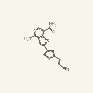 N#C/C=C/c1cc(-c2cc3c(N)ncc(C(N)=O)c3s2)cs1